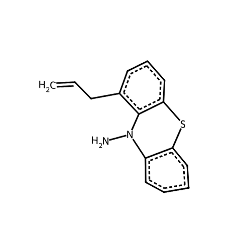 C=CCc1cccc2c1N(N)c1ccccc1S2